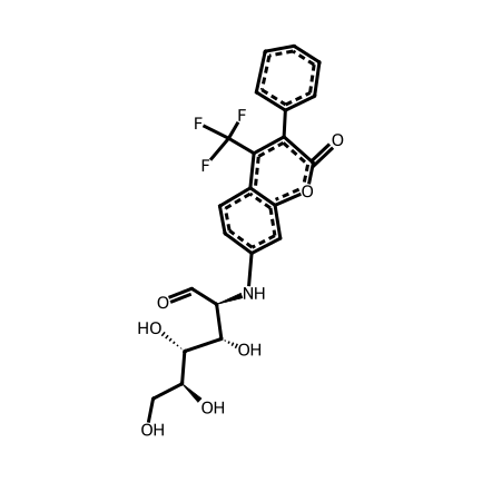 O=C[C@@H](Nc1ccc2c(C(F)(F)F)c(-c3ccccc3)c(=O)oc2c1)[C@H](O)[C@@H](O)[C@@H](O)CO